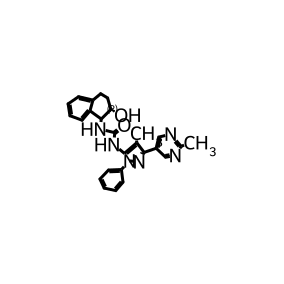 Cc1ncc(-c2nn(-c3ccccc3)c(NC(=O)NC3c4ccccc4CC[C@H]3O)c2C)cn1